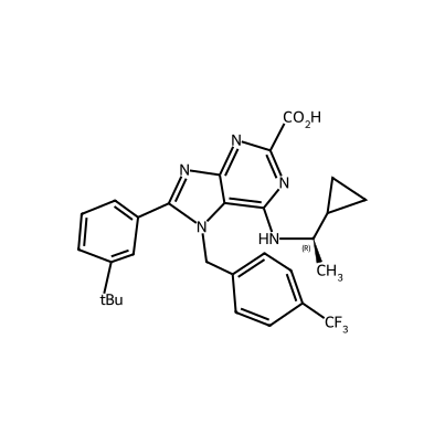 C[C@@H](Nc1nc(C(=O)O)nc2nc(-c3cccc(C(C)(C)C)c3)n(Cc3ccc(C(F)(F)F)cc3)c12)C1CC1